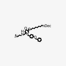 CCCCCCCCCCCCCCCCCCOc1cn(Cc2ccc(OCc3ccccc3)cc2)c(CNCCCN(C)C)cc1=O